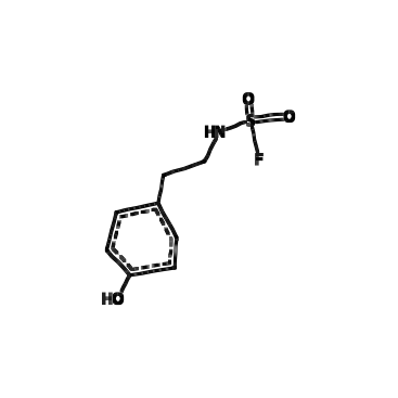 O=S(=O)(F)NCCc1ccc(O)cc1